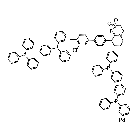 O=S1(=O)CCN2CCC[C@@H](c3ccc(-c4ccc(F)c(Cl)c4)cc3)C2=N1.[Pd].c1ccc(P(c2ccccc2)c2ccccc2)cc1.c1ccc(P(c2ccccc2)c2ccccc2)cc1.c1ccc(P(c2ccccc2)c2ccccc2)cc1.c1ccc(P(c2ccccc2)c2ccccc2)cc1